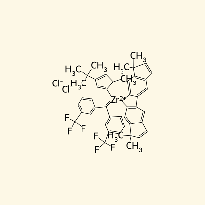 CC1C=C(C(C)(C)C)C=[C]1[Zr+2](=[C](c1cccc(C(F)(F)F)c1)c1cccc(C(F)(F)F)c1)[CH]1c2cc3c(cc2-c2cc4c(cc21)C(C)(C)C=C4)C=CC3(C)C.[Cl-].[Cl-]